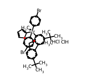 Cl.Cl.[CH2]=[Zr]([C]1=CC=CC1)([c]1ccc(Br)cc1)([c]1ccc(Br)cc1)[c]1cc(C(C)(C)C)cc2c1Cc1ccc(C(C)(C)C)cc1-2